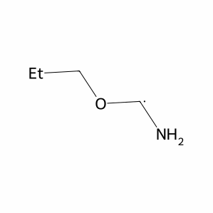 CCCO[CH]N